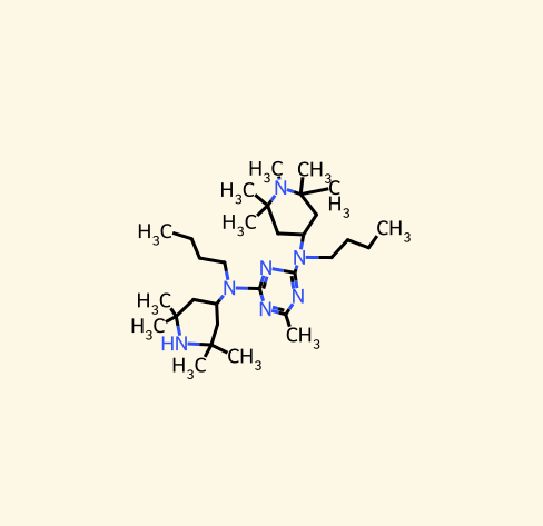 CCCCN(c1nc(C)nc(N(CCCC)C2CC(C)(C)N(C)C(C)(C)C2)n1)C1CC(C)(C)NC(C)(C)C1